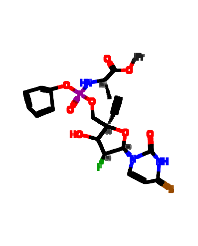 C#C[C@]1(COP(=O)(N[C@@H](C)C(=O)OC(C)C)Oc2ccccc2)O[C@@H](n2ccc(=S)[nH]c2=O)[C@@H](F)C1O